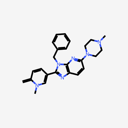 C=C1C=CC(c2nc3ccc(N4CCN(C)CC4)nc3n2Cc2ccccc2)=CN1C